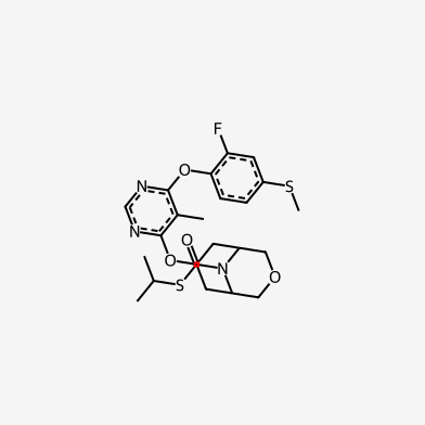 CSc1ccc(Oc2ncnc(OC3CC4COCC(C3)N4C(=O)SC(C)C)c2C)c(F)c1